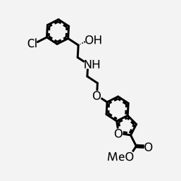 COC(=O)c1cc2ccc(OCCNC[C@@H](O)c3cccc(Cl)c3)cc2o1